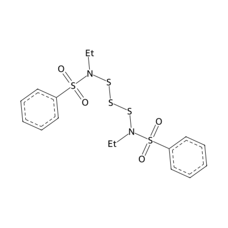 CCN(SSSN(CC)S(=O)(=O)c1ccccc1)S(=O)(=O)c1ccccc1